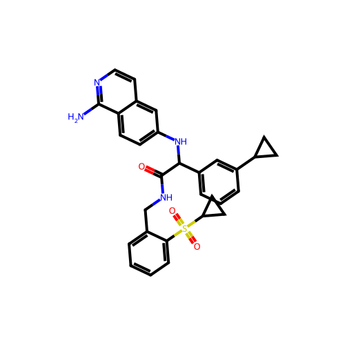 Nc1nccc2cc(NC(C(=O)NCc3ccccc3S(=O)(=O)C3CC3)c3cccc(C4CC4)c3)ccc12